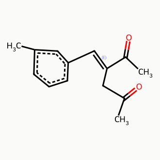 CC(=O)C/C(=C\c1cccc(C)c1)C(C)=O